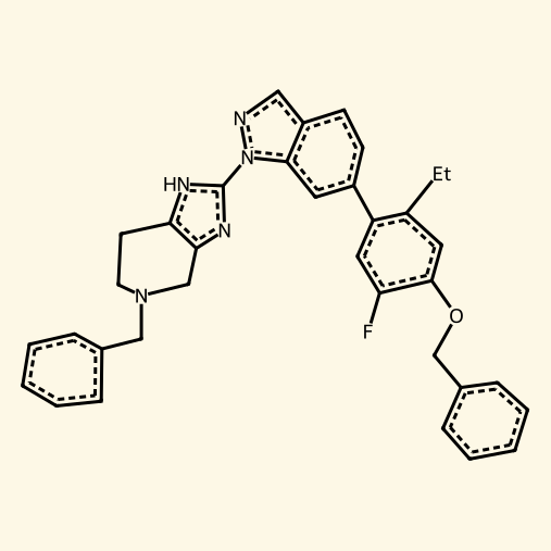 CCc1cc(OCc2ccccc2)c(F)cc1-c1ccc2cnn(-c3nc4c([nH]3)CCN(Cc3ccccc3)C4)c2c1